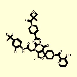 C[C@H]1OC2(CCN(C(=O)c3ncccc3O)CC2)c2c1n(CC(=O)Nc1ccc(C(F)(F)F)cc1Cl)c1nc(C3=CCN(C(=O)C4(C)COC4)CC3)nn1c2=O